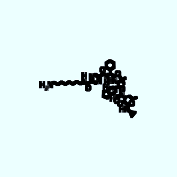 CCC[C@H](NC(=O)[C@@H]1[C@H]2CCC[C@H]2CN1C(=O)[C@@H](NC(=O)[C@@H](NC(=O)c1cnc(C(=O)NCCCCCCCCN)cn1)C1CCCCC1)C(C)(C)C)C(=O)C(=O)NC1CC1